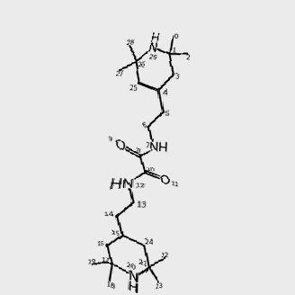 CC1(C)CC(CCNC(=O)C(=O)NCCC2CC(C)(C)NC(C)(C)C2)CC(C)(C)N1